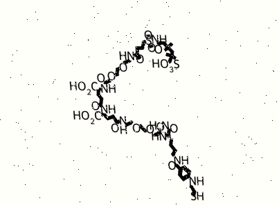 CC(C)(CC(=O)NS(=O)(=O)CCCC(=O)NCCOCCOCC(=O)NC(CCC(=O)NC(CCC(=O)NCCOCCOCC(=O)N[C@@H](CCCCNC(=O)c1ccc(NCCS)cc1)C(N)=O)C(=O)O)C(=O)O)CC(C)(C)CS(=O)(=O)O